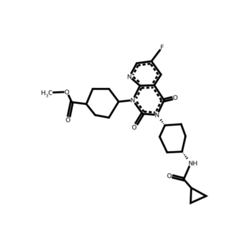 COC(=O)C1CCC(n2c(=O)n([C@H]3CC[C@@H](NC(=O)C4CC4)CC3)c(=O)c3cc(F)cnc32)CC1